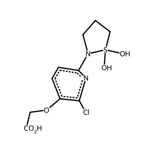 O=C(O)COc1ccc(N2CCCS2(O)O)nc1Cl